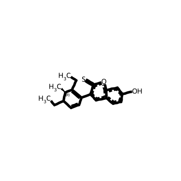 CCC1=C(c2cc3ccc(O)cc3oc2=S)C=CC(CC)[C@H]1C